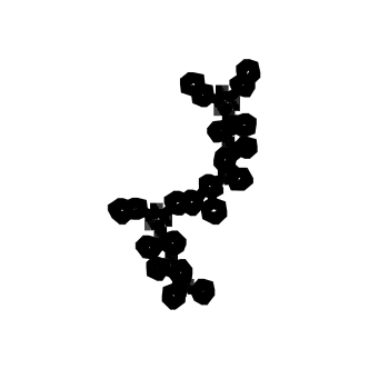 c1ccc(-c2cc(-n3c4ccccc4c4c5c6ccccc6n(-c6cccc7c6c6ccccc6n7-c6nc(-c7ccc8ccccc8c7)nc(-c7ccc8ccccc8c7)n6)c5ccc43)ccc2-c2ccc3cc(-c4nc(-c5ccc6ccccc6c5)nc(-n5c6ccccc6c6c(-n7c8ccccc8c8c9c%10ccccc%10n(-c%10ccccc%10)c9ccc87)cccc65)n4)ccc3c2)cc1